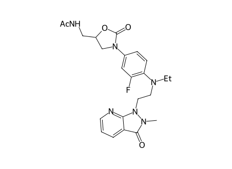 CCN(CCn1c2ncccc2c(=O)n1C)c1ccc(N2CC(CNC(C)=O)OC2=O)cc1F